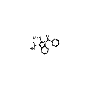 CNc1c(C(C)=N)c2ccccc2n1C(=O)c1ccccc1